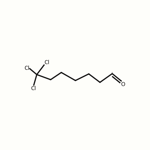 O=[C]CCCCCC(Cl)(Cl)Cl